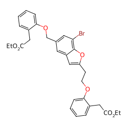 CCOC(=O)Cc1ccccc1OCCc1cc2cc(COc3ccccc3CC(=O)OCC)cc(Br)c2o1